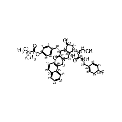 CN(C)C(=O)Oc1ccc(C[C@H]2C(=O)N(Cc3cccc4ccccc34)C[C@H]3N2C(=O)CN3N(CC#N)C(=O)NCC2=CCC(F)C=C2)cc1